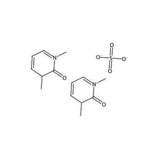 CC1C=CC=[N+](C)C1=O.CC1C=CC=[N+](C)C1=O.O=S(=O)([O-])[O-]